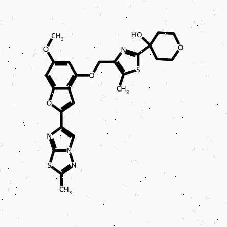 COc1cc(OCc2nc(C3(O)CCOCC3)sc2C)c2cc(-c3cn4nc(C)sc4n3)oc2c1